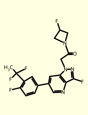 CC(F)(F)c1cc(-c2cnc3c(F)nn(CC(=O)N4CC(F)C4)c3c2)ccc1F